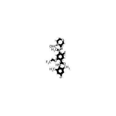 Cc1cc(F)cc(C)c1NC(=O)c1cc(F)c(N(C)/N=C2/COCCN2C=O)cc1OCC(F)(F)F